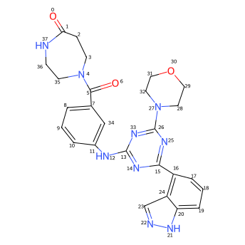 O=C1CCN(C(=O)c2cccc(Nc3nc(-c4cccc5[nH]ncc45)nc(N4CCOCC4)n3)c2)CCN1